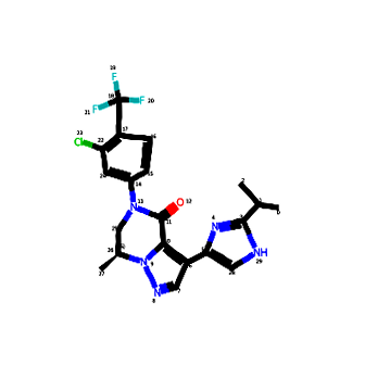 CC(C)c1nc(-c2cnn3c2C(=O)N(c2ccc(C(F)(F)F)c(Cl)c2)C[C@@H]3C)c[nH]1